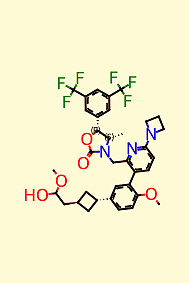 COc1ccc([C@H]2C[C@H](CC(O)OC)C2)cc1-c1ccc(N2CCC2)nc1CN1C(=O)O[C@H](c2cc(C(F)(F)F)cc(C(F)(F)F)c2)[C@@H]1C